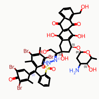 CC1=C(Br)C(=O)C(Br)=C/C1=C(/c1ccccc1S(=O)(=O)N/N=C(\CO)[C@]1(O)Cc2c(O)c3c(c(O)c2[C@@H](O[C@H]2CC(N)[C@H](O)C(C)O2)C1)C(=O)c1c(CO)cccc1C3=O)c1cc(Br)c(C)c(Br)c1C